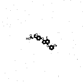 COc1cccc(Oc2ccc(F)c3c2CC[C@H]3Oc2ccc3c(c2)OC[C@H]3CC(=O)O)c1